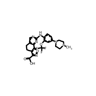 CN1CCN(c2ccc(Nc3ncc4c(n3)-c3onc(C(=O)O)c3CC4)c(OC(F)(F)F)c2)CC1